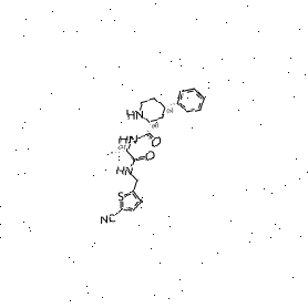 C[C@H](NC(=O)[C@H]1C[C@@H](c2ccccc2)CCN1)C(=O)NCc1ccc(C#N)s1